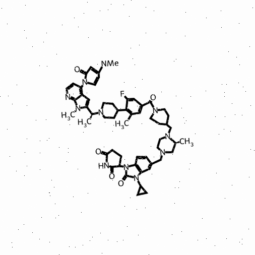 CNc1ccn(-c2ccnc3c2cc([C@H](C)N2CCC(c4c(C)cc(C(=O)N5CCC(CN6CCN(Cc7ccc8c(c7)n(C7CC7)c(=O)n8C7CCC(=O)NC7=O)C[C@@H]6C)CC5)cc4F)CC2)n3C)c(=O)c1